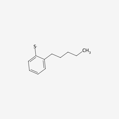 CCCCCc1ccccc1[S]